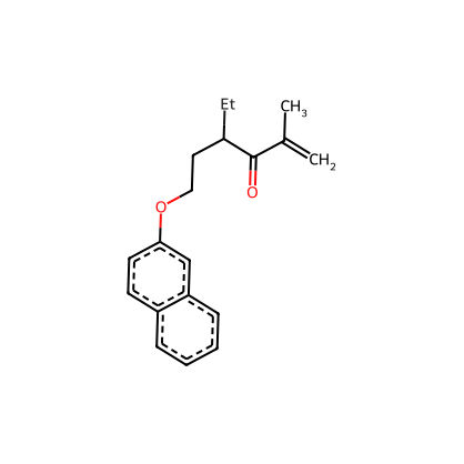 C=C(C)C(=O)C(CC)CCOc1ccc2ccccc2c1